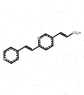 O=C(O)C=Cc1ccc(/C=C/c2ccncc2)nc1